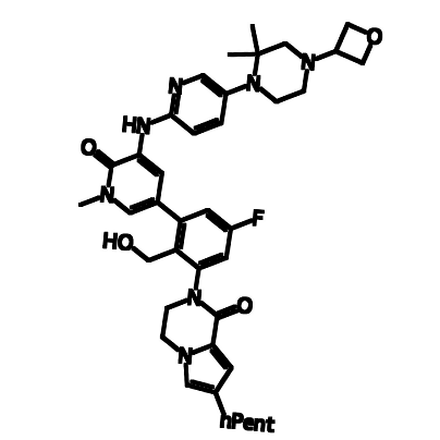 CCCCCc1cc2n(c1)CCN(c1cc(F)cc(-c3cc(Nc4ccc(N5CCN(C6COC6)CC5(C)C)cn4)c(=O)n(C)c3)c1CO)C2=O